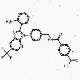 Nc1ncccc1-c1nc2cc(C(F)(F)F)cnc2n1-c1ccc(CNC(=O)c2ccc(C(=O)O)cc2)cc1